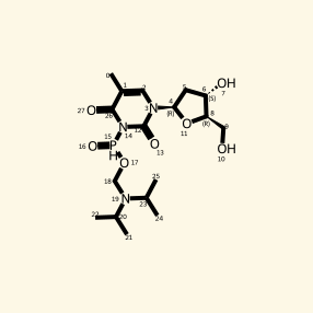 Cc1cn([C@H]2C[C@H](O)[C@@H](CO)O2)c(=O)n([PH](=O)OCN(C(C)C)C(C)C)c1=O